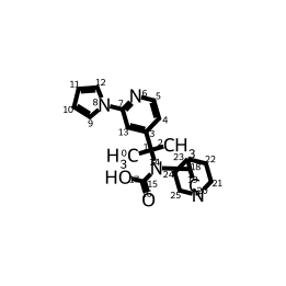 CC(C)(c1ccnc(-n2cccc2)c1)N(C(=O)O)C1CN2CCC1CC2